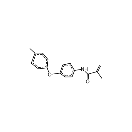 C=C(C)C(=O)Nc1ccc(Oc2ccc(C)cc2)cc1